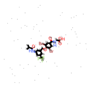 CC(C)C(=O)Nc1cc(COc2c(Br)cc(C(=O)NCC(=O)O)cc2Br)cc(C(F)(F)F)c1